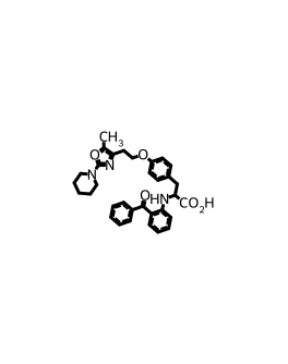 Cc1oc(N2CCCCC2)nc1CCOc1ccc(CC(Nc2ccccc2C(=O)c2ccccc2)C(=O)O)cc1